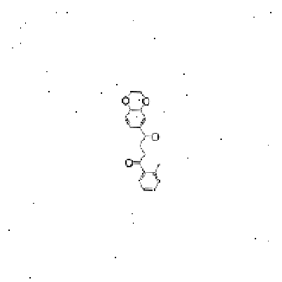 Cc1ccccc1C(=O)CCC(=O)c1ccc2c(c1)OCCO2